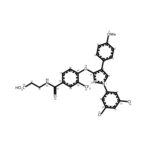 COc1ccc(-c2cn(-c3cc(Cl)cc(Cl)c3)nc2Oc2ccc(C(=O)NCCC(=O)O)cc2C(F)(F)F)cc1